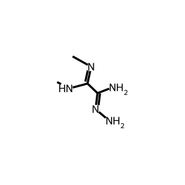 C/N=C(NC)/C(N)=N/N